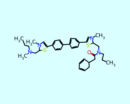 CCCN(C)CC1SC(c2ccc(-c3ccc(C4=CN(C)C(CN(CCC)C(=O)CC5C=CC=CC5)S4)cc3)cc2)=CN1C